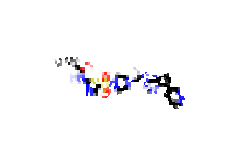 COCC(=O)Nc1ncc(S(=O)(=O)N2CCN(C[C@H](C)Nc3ncnc4c(-c5cccnc5)cccc34)CC2)s1